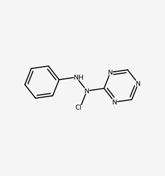 ClN(Nc1ccccc1)c1ncncn1